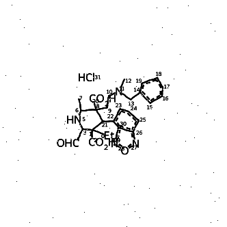 CCC1(C(=O)O)C(C=O)NC(C)C(CCN(C)Cc2ccccc2)(C(=O)O)C1c1cccc2nonc12.Cl